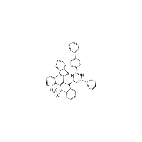 CC1(C)c2ccccc2N(c2cc(-c3ccccc3)nc(-c3ccc(-c4ccccc4)cc3)n2)c2c1c1ccccc1c1c2sc2ccccc21